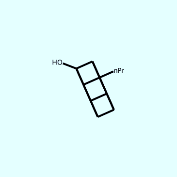 CCCC12C3C4C5C3C1C5(O)C42